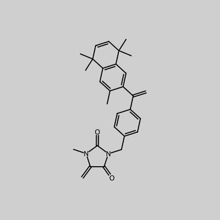 C=C(c1ccc(CN2C(=O)C(=C)N(C)C2=O)cc1)c1cc2c(cc1C)C(C)(C)C=CC2(C)C